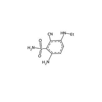 CCNc1ccc(N)c(S(N)(=O)=O)c1C#N